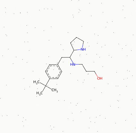 CC(C)(C)c1ccc(CC(NCCCO)C2CCCN2)cc1